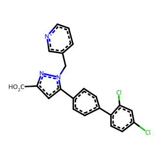 O=C(O)c1cc(-c2ccc(-c3ccc(Cl)cc3Cl)cc2)n(Cc2cccnc2)n1